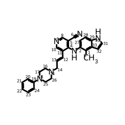 Cc1c(Nc2c(C#N)cncc2/C=C/CN2CCN(c3ccccc3)CC2)ccc2[nH]ccc12